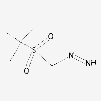 CC(C)(C)S(=O)(=O)CN=N